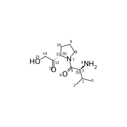 CC(C)[C@H](N)C(=O)N1CCC[C@H]1C(=O)CO